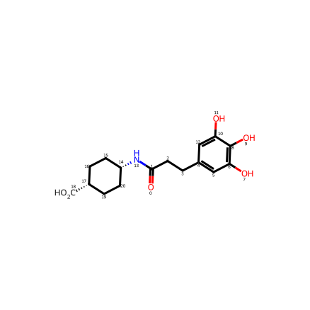 O=C(CCc1cc(O)c(O)c(O)c1)N[C@H]1CC[C@@H](C(=O)O)CC1